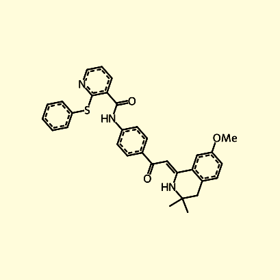 COc1ccc2c(c1)C(=CC(=O)c1ccc(NC(=O)c3cccnc3Sc3ccccc3)cc1)NC(C)(C)C2